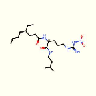 CCCCC(CC)CCC(=O)N[C@@H](CCCNC(=N)N[N+](=O)[O-])C(=O)N[CH]CC(C)C